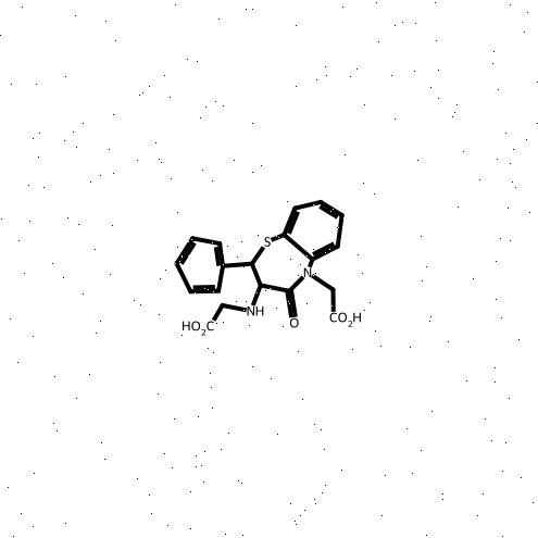 O=C(O)CNC1C(=O)N(CC(=O)O)c2ccccc2SC1c1ccccc1